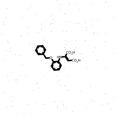 O=C(O)C=C(Nc1ccccc1OCc1ccccc1)C(=O)O